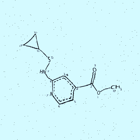 COC(=O)c1ccnc(NSC2CC2)c1